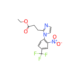 CCOC(=O)CCc1nccn1-c1ccc(C(F)(F)F)cc1[N+](=O)[O-]